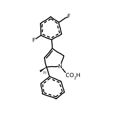 C[C@@]1(c2ccccc2)C=C(c2cc(F)ccc2F)CN1C(=O)O